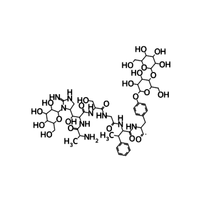 CC(N)C(=O)NC(C(=O)NC(CO)C(=O)NCC(=O)NC(C(=O)NC([C]=O)Cc1ccc(OC2OC(CO)C(OC3OC(CO)C(O)C(O)C3O)C(O)C2O)cc1)C(C)c1ccccc1)C(O)C1CNC(=N)N1C1OC(CO)C(O)C(O)C1O